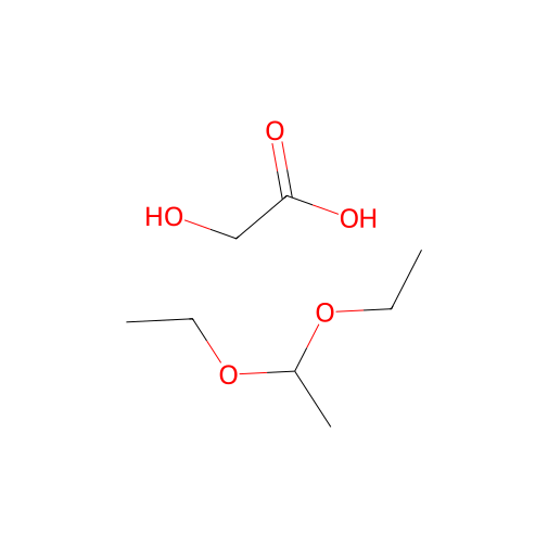 CCOC(C)OCC.O=C(O)CO